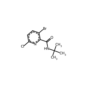 CC(C)(C)NC(=O)c1nc(Cl)ccc1Br